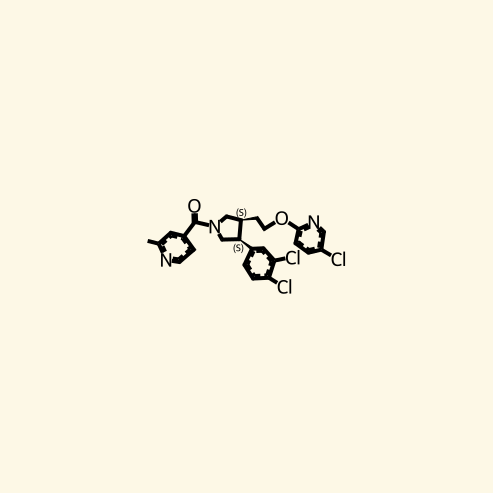 Cc1cc(C(=O)N2C[C@@H](CCOc3ccc(Cl)cn3)[C@@H](c3ccc(Cl)c(Cl)c3)C2)ccn1